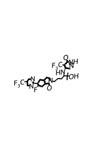 CC(C)(O)C(CCCn1ccc2cc(-c3ncc(C(F)(F)F)cn3)c(F)cc2c1=O)Nc1cn[nH]c(=O)c1C(F)(F)F